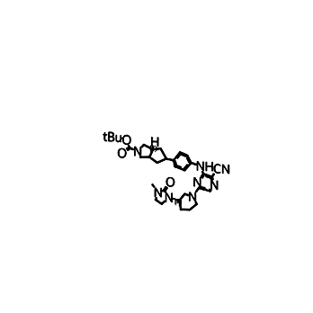 CN1CCN([C@@H]2CCCN(c3cnc(C#N)c(Nc4ccc(C5CC6CN(C(=O)OC(C)(C)C)C[C@H]6C5)cc4)n3)C2)C1=O